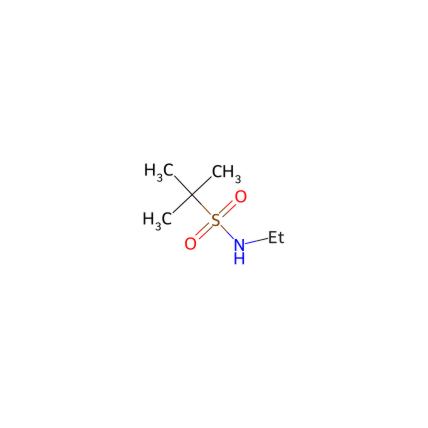 CCNS(=O)(=O)C(C)(C)C